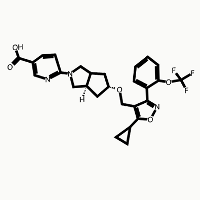 O=C(O)c1ccc(N2CC3C[C@H](OCc4c(-c5ccccc5OC(F)(F)F)noc4C4CC4)C[C@H]3C2)nc1